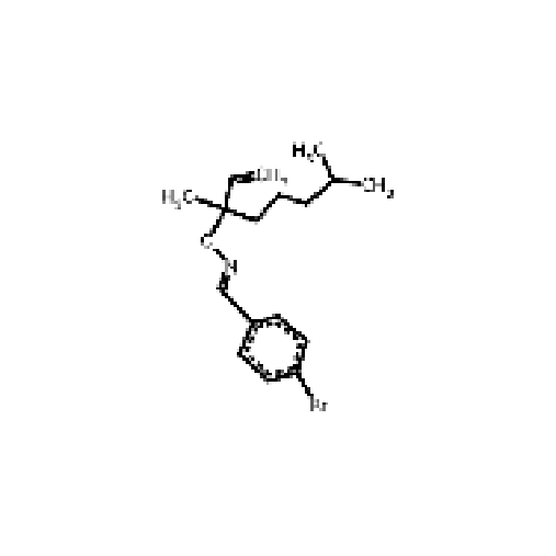 C=CC(C)(CCCC(C)C)ON=Cc1ccc(Br)cc1